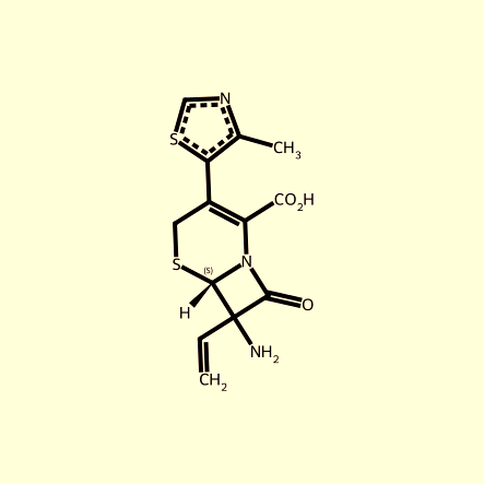 C=CC1(N)C(=O)N2C(C(=O)O)=C(c3scnc3C)CS[C@H]21